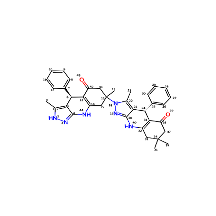 Cc1[nH]nc2c1[C@@H](c1ccccc1)C1=C(CC(C)(n3nc4c(c3C)[C@H](c3ccccc3)C3=C(CC(C)(C)CC3=O)N4)CC1=O)N2